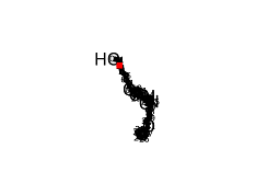 OCCCCCCCOc1ccc(-c2nnc(CSCCOc3ccccc3)o2)cc1